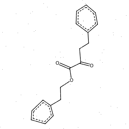 O=C(CCc1ccccc1)C(=O)OCCc1ccccc1